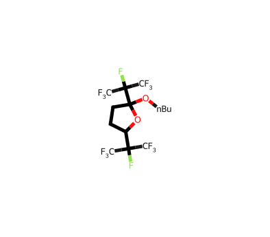 CCCCOC1(C(F)(C(F)(F)F)C(F)(F)F)CCC(C(F)(C(F)(F)F)C(F)(F)F)O1